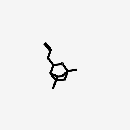 C=CCC1OC2(C)CCC1C(C)C2